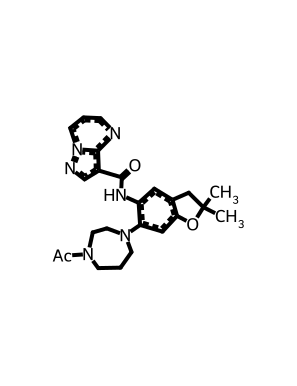 CC(=O)N1CCCN(c2cc3c(cc2NC(=O)c2cnn4cccnc24)CC(C)(C)O3)CC1